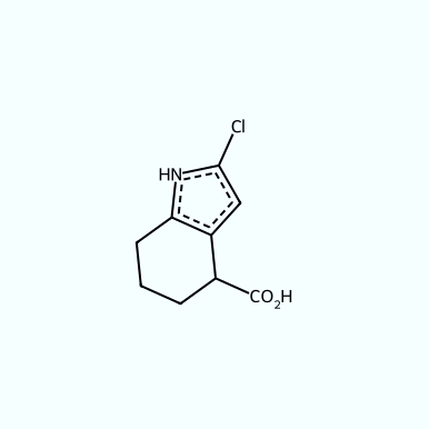 O=C(O)C1CCCc2[nH]c(Cl)cc21